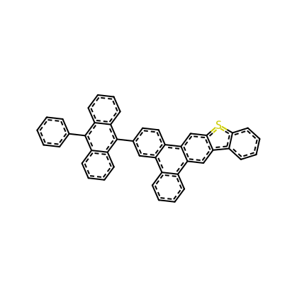 c1ccc(-c2c3ccccc3c(-c3ccc4c(c3)c3ccccc3c3cc5c(cc43)sc3ccccc35)c3ccccc23)cc1